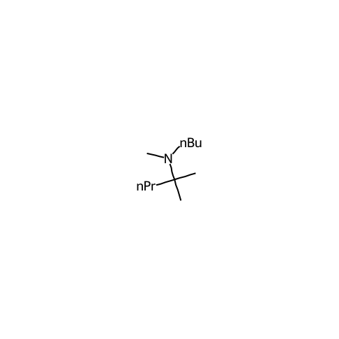 CCCCN(C)C(C)(C)CCC